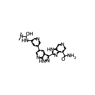 CN(C)C(O)Nc1cncc(-c2cnc3[nH]nc(-c4nc5c(C(N)=O)cncc5[nH]4)c3c2)c1